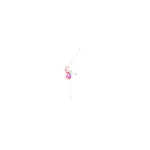 CCCCCCCCCCCCCCCCCCC(=O)OCC1(CC)COC2(CC(C)(CC)N(OC(=O)CCCCCCCCCCCCCCCCC)C(C)(CC)C2C)OC1